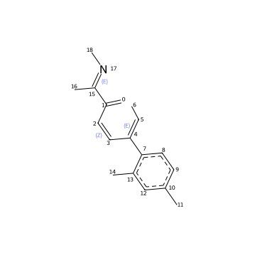 C=C(/C=C\C(=C/C)c1ccc(C)cc1C)/C(C)=N/C